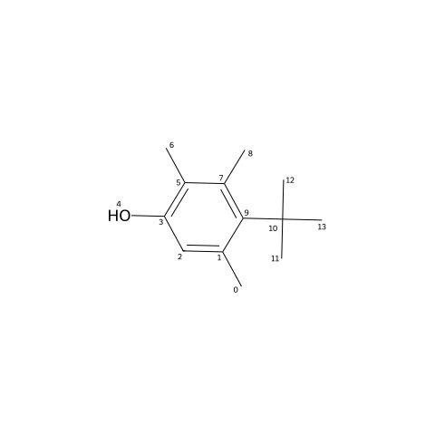 Cc1cc(O)c(C)c(C)c1C(C)(C)C